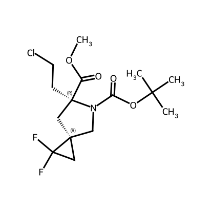 COC(=O)[C@]1(CCCl)C[C@]2(CN1C(=O)OC(C)(C)C)CC2(F)F